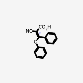 N#C/C(C(=O)O)=C(\Oc1ccccc1)c1ccccc1